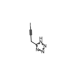 IC#CCc1nnn[nH]1